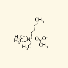 CC(=O)[O-].CCCCCC[N+](CC)(CC)CC